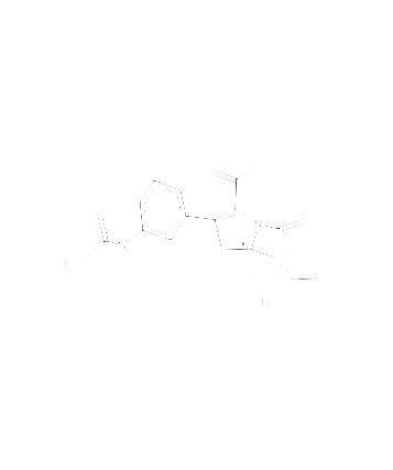 CC(=O)Nc1cccc(C2=C(C(=O)O)N3C(=O)[C@H]([C@@H](C)O)[C@H]3C2)c1